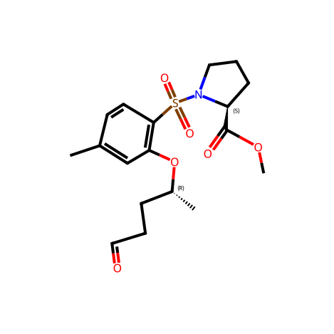 COC(=O)[C@@H]1CCCN1S(=O)(=O)c1ccc(C)cc1O[C@H](C)CCC=O